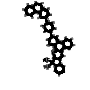 CC1(C)c2ccccc2-c2cc3c4ccccc4c4cc(-c5ccc(-c6ccc7ccc8cccnc8c7n6)nc5)cnc4c3nc21